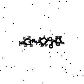 O=C(Oc1ccc(/C=N/c2ccc(F)cc2)cc1)c1ccco1